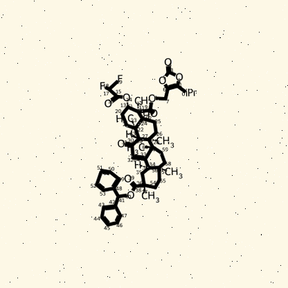 CC(C)c1oc(=O)oc1COC(=O)[C@]1(C)[C@@H](OC(=O)C(F)F)CC[C@@]2(C)[C@H]1CC[C@]1(C)[C@@H]2C(=O)C=C2[C@@H]3C[C@@](C)(C(=O)OC(c4ccccc4)c4ccccc4)CC[C@]3(C)CC[C@]21C